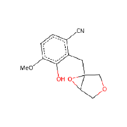 COc1ccc(C#N)c(CC23COCC2O3)c1O